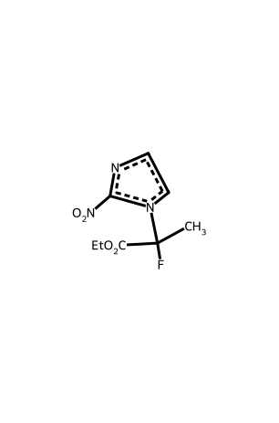 CCOC(=O)C(C)(F)n1ccnc1[N+](=O)[O-]